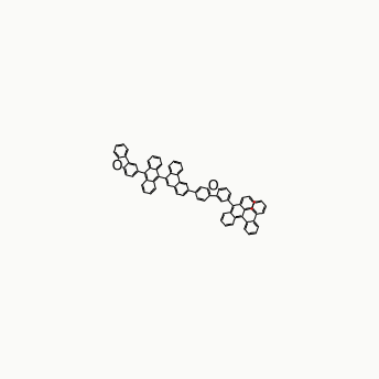 c1ccc(-c2ccccc2-c2c3ccccc3c(-c3ccc4oc5cc(-c6ccc7cc(-c8c9ccccc9c(-c9ccc%10oc%11ccccc%11c%10c9)c9ccccc89)c8ccccc8c7c6)ccc5c4c3)c3ccccc23)cc1